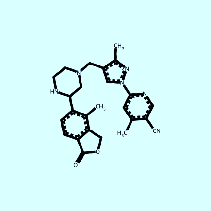 Cc1cc(-n2cc(CN3CCNC(c4ccc5c(c4C)COC5=O)C3)c(C)n2)ncc1C#N